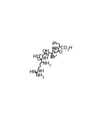 CC(C)C[C@H](NC(=O)[C@H](CC(C)C)NC(=O)CNC(=O)[C@H](CO)NC(=O)[C@@H](N)CCCNC(=N)N)C(=O)O